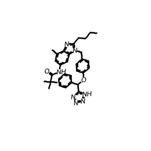 CCCCc1nc2c(C)cc(NC(=O)C(C)(C)C)cc2n1Cc1ccc(OC(c2ccccc2)c2nnn[nH]2)cc1